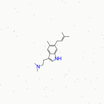 CC(C)=CCc1cc2[nH]cc(CCN(C)C)c2cc1C